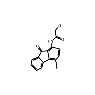 O=C(CCl)Nc1ccc(F)c2c1C(=O)c1ccccc1-2